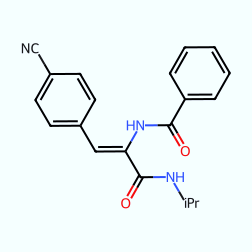 CC(C)NC(=O)/C(=C/c1ccc(C#N)cc1)NC(=O)c1ccccc1